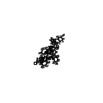 Cc1ccc(CNC(=O)C(Cc2cscn2)NC(=O)C(Cc2c[nH]c3ccccc23)NC(=O)[C@@H]2CCCCN2C(=O)C(Cc2ccccc2)NC(=O)CCl)cc1